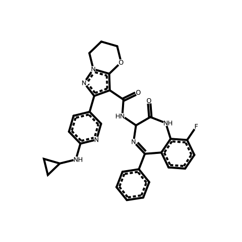 O=C(NC1N=C(c2ccccc2)c2cccc(F)c2NC1=O)c1c(-c2ccc(NC3CC3)nc2)nn2c1OCCC2